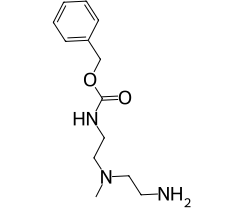 CN(CCN)CCNC(=O)OCc1ccccc1